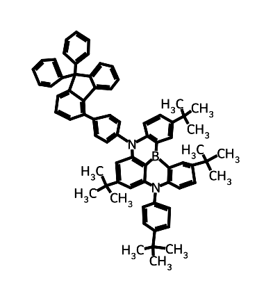 CC(C)(C)c1ccc(N2c3ccc(C(C)(C)C)cc3B3c4cc(C(C)(C)C)ccc4N(c4ccc(-c5cccc6c5-c5ccccc5C6(c5ccccc5)c5ccccc5)cc4)c4cc(C(C)(C)C)cc2c43)cc1